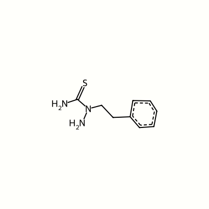 NC(=S)N(N)CCc1ccccc1